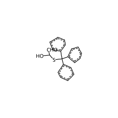 O=CC(O)SC(c1ccccc1)(c1ccccc1)c1ccccc1